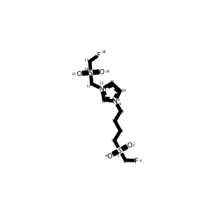 O=S(=O)(CF)CCCC[n+]1ccn(CS(=O)(=O)CF)c1